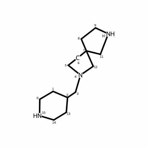 C1CC(CN2CCC3(CCNC3)C2)CCN1